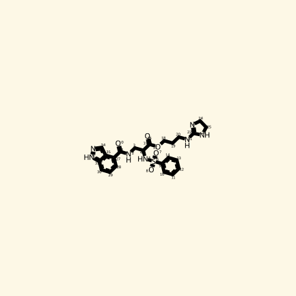 O=C(NCC(NS(=O)(=O)c1ccccc1)C(=O)OCCCNC1=NCCN1)c1cccc2[nH]ncc12